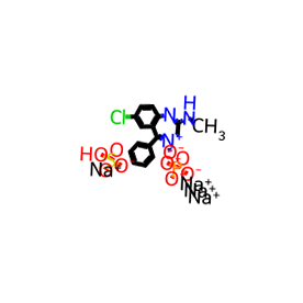 CNC1=Nc2ccc(Cl)cc2C(c2ccccc2)=[N+]([O-])C1.O=P([O-])([O-])[O-].O=S(=O)([O-])O.[Na+].[Na+].[Na+].[Na+]